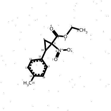 CCOC(=O)C1([N+](=O)[O-])CC1c1ccc(C)cc1